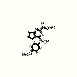 CONc1nc2c(c(N(C)c3ccc(OC)cc3)n1)CCC2